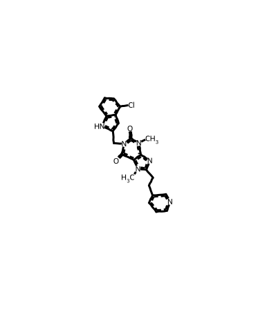 Cn1c(CCc2cccnc2)nc2c1c(=O)n(Cc1cc3c(Cl)cccc3[nH]1)c(=O)n2C